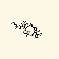 CCn1c(-c2cccnc2[C@H](C)OC)c2c3cc(ccc31)-c1csc(n1)C[C@H](NC(=O)[C@H](C(C)C)N(C)C(=O)[C@H]1CCN(C(=O)/C=C/CN(C)C)C1)C(=O)N1CCC[C@H](N1)C(=O)OCC(C)(C)C2